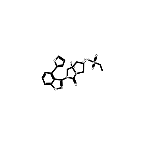 CCS(=O)(=O)N[C@H]1C[C@H]2CN(c3noc4cccc(-c5ccco5)c34)C(=O)N2C1